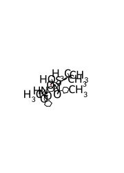 CC1CCC(C(=O)N(c2cc(C#CC(C)(C)C)sc2C(=O)O)[C@H]2CC[C@H](NN(C)C(=O)OC3CCCCC3)CC2)CC1